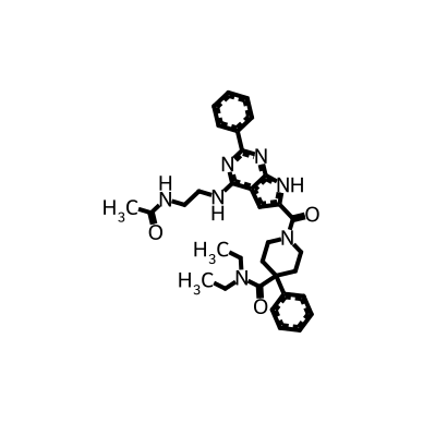 CCN(CC)C(=O)C1(c2ccccc2)CCN(C(=O)c2cc3c(NCCNC(C)=O)nc(-c4ccccc4)nc3[nH]2)CC1